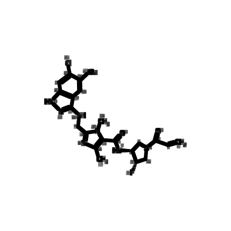 C=CC(=O)N1C[C@H](NC(=O)c2c(C)nc(CNc3n[nH]c4cc(Cl)c(C(C)(C)C)cc34)n2C)[C@@H](F)C1